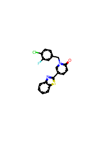 O=c1ccc(-c2nc3ccccc3s2)cn1Cc1ccc(Cl)c(F)c1